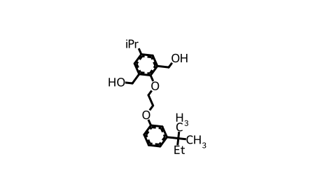 CCC(C)(C)c1cccc(OCCOc2c(CO)cc(C(C)C)cc2CO)c1